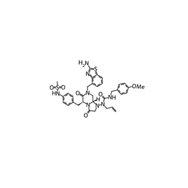 C=CCN(C(=O)NCc1ccc(OC)cc1)N1CC(=O)N2[C@@H](Cc3ccc(NS(C)(=O)=O)cc3)C(=O)N(Cc3cccc4sc(N)nc34)C[C@@H]21